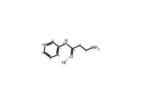 I.NCCC(=O)Nc1cccnc1